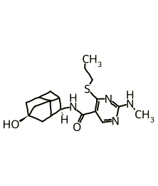 CCCSc1nc(NC)ncc1C(=O)N[C@H]1C2CC3CC1C[C@@](O)(C3)C2